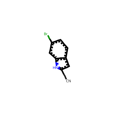 N#Cc1cc2ccc(Br)cc2[nH]1